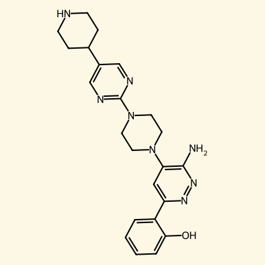 Nc1nnc(-c2ccccc2O)cc1N1CCN(c2ncc(C3CCNCC3)cn2)CC1